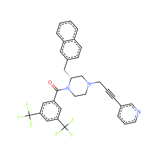 O=C(c1cc(C(F)(F)F)cc(C(F)(F)F)c1)N1CCN(CC#Cc2cccnc2)C[C@H]1Cc1ccc2ccccc2c1